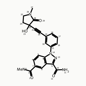 CNC(=O)c1ccc2c(c1)c(C(N)=O)nn2-c1cccc(C#CC2(O)CCN(C)C2=O)c1